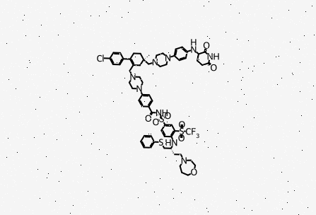 C[C@@]1(CN2CCN(c3ccc(NC4CCC(=O)NC4=O)cc3)CC2)CCC(c2ccc(Cl)cc2)=C(CN2CCN(c3ccc(C(=O)NS(=O)(=O)c4ccc(N[C@H](CCN5CCCOCC5)CSc5ccccc5)c(S(=O)(=O)C(F)(F)F)c4)cc3)CC2)C1